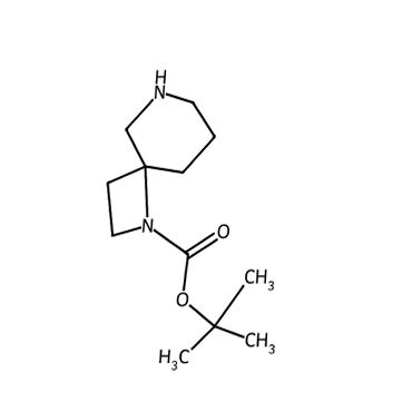 CC(C)(C)OC(=O)N1CCC12CCCNC2